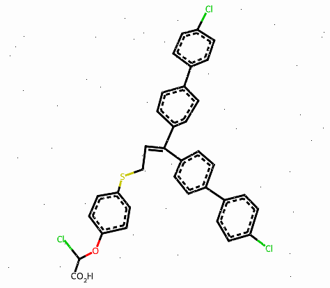 O=C(O)C(Cl)Oc1ccc(SCC=C(c2ccc(-c3ccc(Cl)cc3)cc2)c2ccc(-c3ccc(Cl)cc3)cc2)cc1